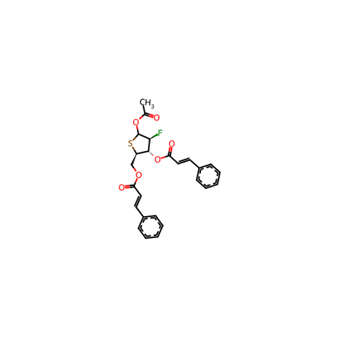 CC(=O)OC1S[C@H](COC(=O)/C=C/c2ccccc2)[C@@H](OC(=O)/C=C/c2ccccc2)[C@@H]1F